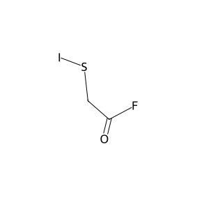 O=C(F)CSI